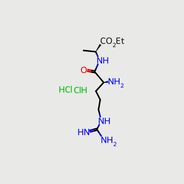 CCOC(=O)[C@H](C)NC(=O)[C@@H](N)CCCNC(=N)N.Cl.Cl